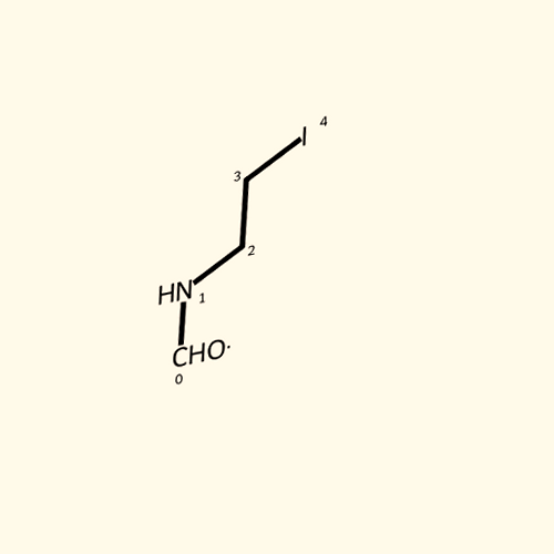 O=[C]NCCI